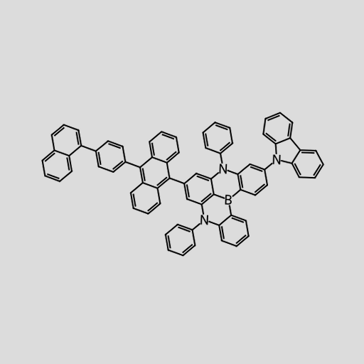 c1ccc(N2c3ccccc3B3c4ccc(-n5c6ccccc6c6ccccc65)cc4N(c4ccccc4)c4cc(-c5c6ccccc6c(-c6ccc(-c7cccc8ccccc78)cc6)c6ccccc56)cc2c43)cc1